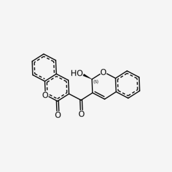 O=C(C1=Cc2ccccc2O[C@@H]1O)c1cc2ccccc2oc1=O